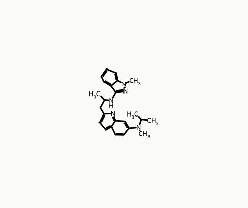 CC(Cc1ccc2ccc(N(C)C(C)C)cc2n1)Nc1nn(C)c2ccccc12